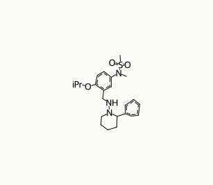 CC(C)Oc1ccc(N(C)S(C)(=O)=O)cc1CNN1CCCCC1c1ccccc1